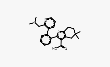 CN(C)Cc1ncccc1-c1ccccc1-c1sc2c(c1C(=O)O)CC(C)(C)CC2